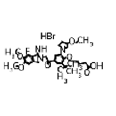 Br.CCOC1CCN(c2cc(C(=O)CN3Cc4cc(OC)c(OC)c(F)c4C3=N)cc(C(C)(C)C)c2OCCCCC(=O)O)C1